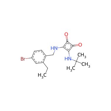 CCc1cc(Br)ccc1CNc1c(NC(C)(C)C)c(=O)c1=O